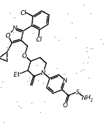 C=C1C(CC)C(OCc2c(-c3c(Cl)cccc3Cl)noc2C2CC2)CCN1c1ccc(C(=O)SN)nc1